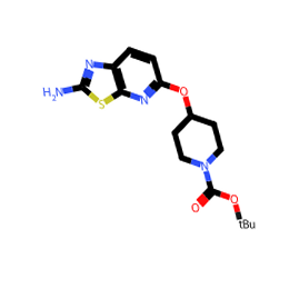 CC(C)(C)OC(=O)N1CCC(Oc2ccc3nc(N)sc3n2)CC1